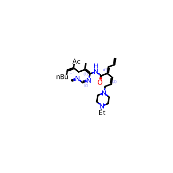 C=C/C=C(\C=C/CN1CCN(CC)CC1)C(=O)NC(/N=C\N=C)=C(\C)C/C(=C\CCCC)C(C)=O